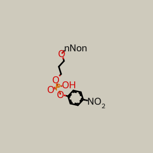 CCCCCCCCCOCCCOP(=O)(O)Oc1ccc([N+](=O)[O-])cc1